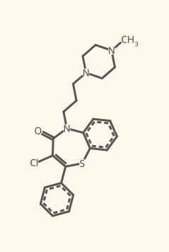 CN1CCN(CCCN2C(=O)C(Cl)=C(c3ccccc3)Sc3ccccc32)CC1